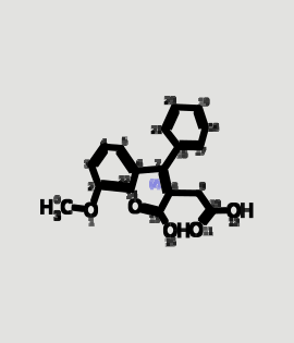 COc1cccc(/C(=C(/CC(=O)O)C(=O)O)c2ccccc2)c1